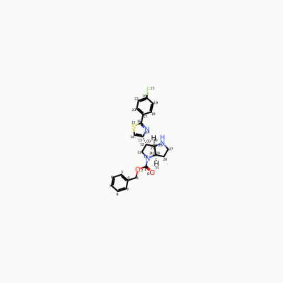 O=C(OCc1ccccc1)N1C[C@H](c2csc(-c3ccc(F)cc3)n2)[C@H]2NCC[C@H]21